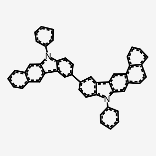 c1ccc(-n2c3ccc(-c4ccc5c(c4)c4cc6c(ccc7ccccc76)cc4n5-c4ccccc4)cc3c3cc4ccccc4cc32)cc1